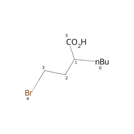 CCCCC(CCBr)C(=O)O